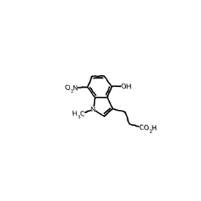 Cn1cc(CCC(=O)O)c2c(O)ccc([N+](=O)[O-])c21